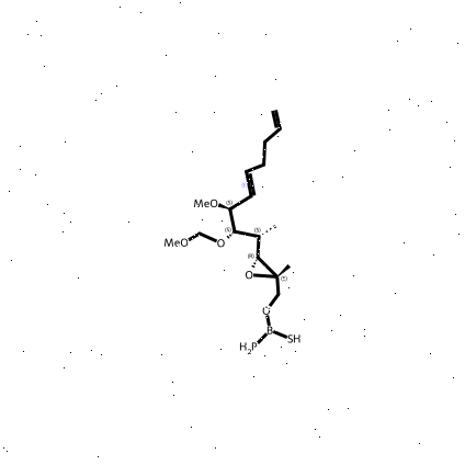 C=CCC/C=C/[C@H](OC)[C@@H](OCOC)[C@H](C)[C@H]1O[C@@]1(C)COB(P)S